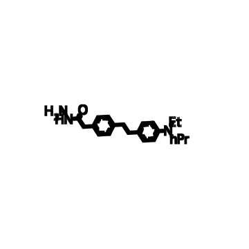 CCCN(CC)c1ccc(CCc2ccc(CC(=O)NN)cc2)cc1